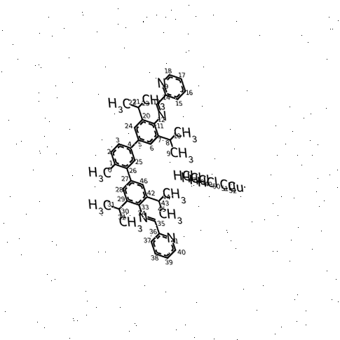 Cc1ccc(-c2cc(C(C)C)c(N=Cc3ccccn3)c(C(C)C)c2)cc1-c1cc(C(C)C)c(N=Cc2ccccn2)c(C(C)C)c1.Cl.Cl.Cl.Cl.[Cu].[Cu]